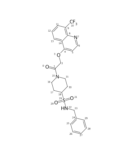 O=C(COc1ccnc2c(C(F)(F)F)cccc12)N1CCC(S(=O)(=O)NCc2ccccc2)CC1